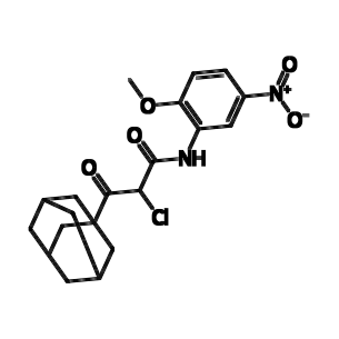 COc1ccc([N+](=O)[O-])cc1NC(=O)C(Cl)C(=O)C12CC3CC(CC(C3)C1)C2